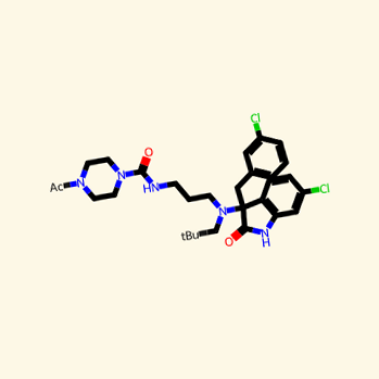 CC(=O)N1CCN(C(=O)NCCCN(CC(C)(C)C)C2(Cc3cccc(Cl)c3)C(=O)Nc3cc(Cl)ccc32)CC1